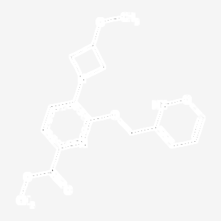 COC(=O)c1ccc(N2CC(OC)C2)c(OCC2=CC=CON2)n1